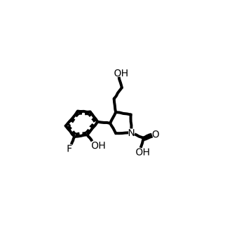 O=C(O)N1CC(CCO)C(c2cccc(F)c2O)C1